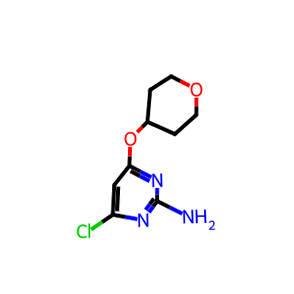 Nc1nc(Cl)cc(OC2CCOCC2)n1